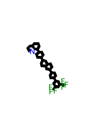 FC(F)(F)c1cc(-c2ccc(-c3ccc4cc(-c5ccc(-c6cccc7cccnc67)cc5)ccc4c3)cc2)cc(C(F)(F)F)c1